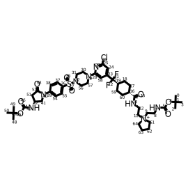 CC(C)(C)OC(=O)NCC[N+]1(CCNC(=O)[C@H]2CC[C@H](C(F)(F)c3cc(Cl)nc(N4CCN(S(=O)(=O)c5ccc(N6C[C@H](NC(=O)OC(C)(C)C)CC6=O)cc5)CC4)c3)CC2)CCCC1